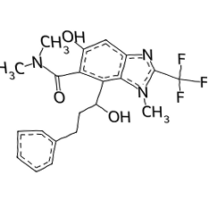 CN(C)C(=O)c1c(O)cc2nc(C(F)(F)F)n(C)c2c1C(O)CCc1ccccc1